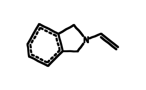 C=CN1Cc2ccccc2C1